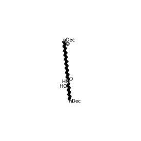 CCCCCCCCCCCCCCCC[C@H](O)CNC(=O)CCCCCCCCCCCCCCCC(=O)CCCCCCCCCCC